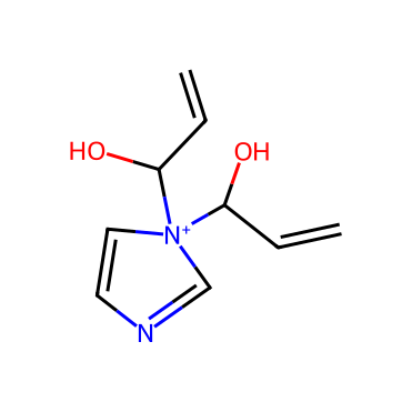 C=CC(O)[N+]1(C(O)C=C)C=CN=C1